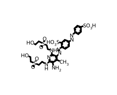 Cc1c(N)c(NCCS(=O)(=O)CCO)nc(NCCS(=O)(=O)CCO)c1/N=N/c1ccc(/N=N/c2ccc(S(=O)(=O)O)cc2)cc1S(=O)(=O)O